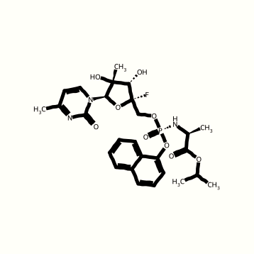 Cc1ccn([C@@H]2O[C@](F)(CO[P@@](=O)(N[C@@H](C)C(=O)OC(C)C)Oc3cccc4ccccc34)[C@@H](O)[C@@]2(C)O)c(=O)n1